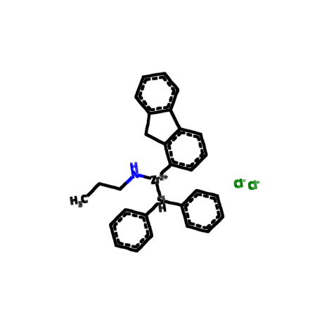 CCC[NH][Zr+2]([c]1cccc2c1Cc1ccccc1-2)[SiH](c1ccccc1)c1ccccc1.[Cl-].[Cl-]